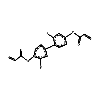 C=CC(=O)Oc1ccc(-c2ccc(OC(=O)C=C)c(F)c2)c(F)c1